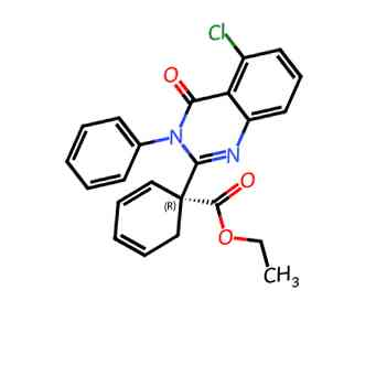 CCOC(=O)[C@@]1(c2nc3cccc(Cl)c3c(=O)n2-c2ccccc2)C=CC=CC1